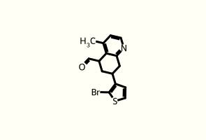 Cc1ccnc2c1C(C=O)CC(c1ccsc1Br)C2